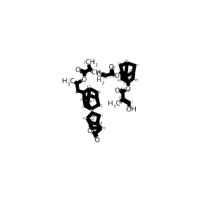 C=C(C)C(=O)OC(C)CC1C2CC3CC(C2)CC1C3.C=CC(=O)OC12CC3CC(C1)CC(OC(=O)C(C)=CO)(C3)C2.O=C1OC2C3CCC2C1C3